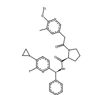 CCOc1ncc(CC(=O)N2CCC[C@H]2C(=O)N[C@@H](c2ccccc2)c2ccc(C3CC3)c(F)n2)cc1C